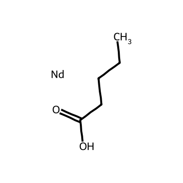 CCCCC(=O)O.[Nd]